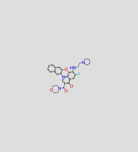 O=C(c1cn2c3c(c(NCCN4CCCC4)c(F)cc3c1=O)Oc1cc3ccccc3cc1-2)N1CCOCC1